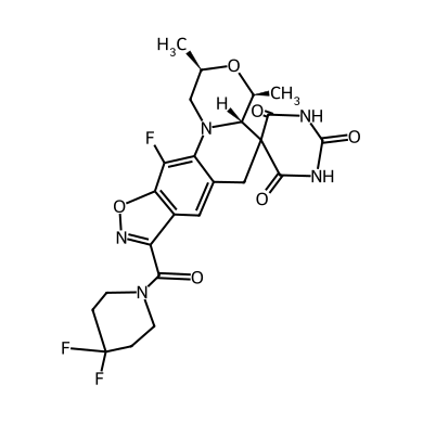 C[C@@H]1CN2c3c(cc4c(C(=O)N5CCC(F)(F)CC5)noc4c3F)CC3(C(=O)NC(=O)NC3=O)[C@H]2[C@H](C)O1